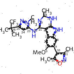 COc1cc2c3c([nH]c2cc1-c1c(C)noc1C)NC(C)N=C3Nc1cc(C(C)(C)C(F)(F)F)nn1C